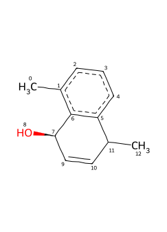 Cc1cccc2c1[C@H](O)C=CC2C